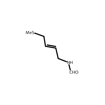 CSCC=CCN[C]=O